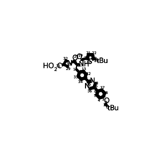 CC(C)(C)COc1ccc(-c2cnc(-c3ccc(C[C@H](NC(=O)c4ccc(C(C)(C)C)s4)C(=O)N4CC(C(=O)O)C4)cc3)nc2)cc1